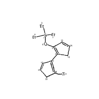 CC[Si](CC)(CC)OC1=C(C2=[C]([Ti])CC=C2)CC=C1